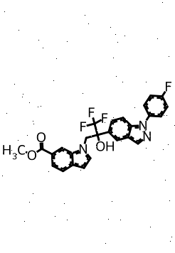 COC(=O)c1ccc2ccn(CC(O)(c3ccc4c(cnn4-c4ccc(F)cc4)c3)C(F)(F)F)c2c1